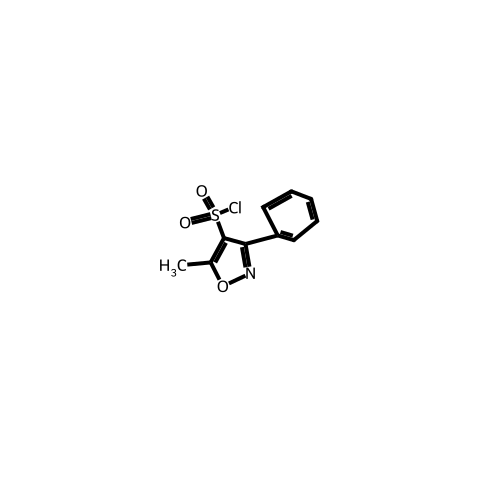 Cc1onc(-c2ccccc2)c1S(=O)(=O)Cl